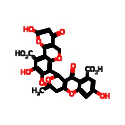 CC12Cc3oc4cc(O)cc(C(=O)O)c4c(=O)c3C(O1)c1c(c(O)c(C(=O)O)c3c1OCc1c-3oc(O)cc1=O)O2